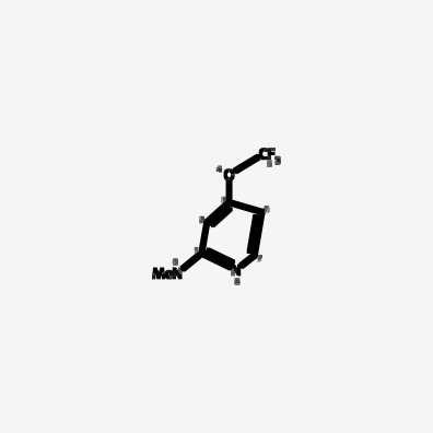 CNc1cc(OC(F)(F)F)ccn1